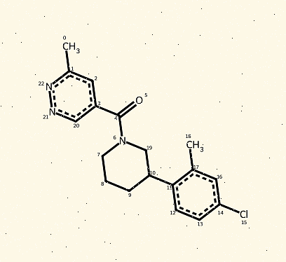 Cc1cc(C(=O)N2CCCC(c3ccc(Cl)cc3C)C2)cnn1